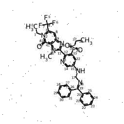 CCn1c(C(F)(F)F)cc2nc(-c3ncc(NCN=C(c4ccccc4)c4ccccc4)cc3S(=O)(=O)CC)n(C)c2c1=O